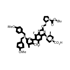 COc1ccc(CN(Cc2ccc(OC)cc2)c2cc(C)c(C(F)(F)F)c(-c3c(Cl)cc4c(N5CCN(C(=O)O)C[C@@H]5C)nc(OC[C@@H]5CCCN5C(=O)OC(C)(C)C)nc4c3F)n2)cc1